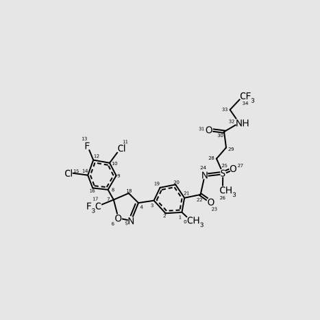 Cc1cc(C2=NOC(c3cc(Cl)c(F)c(Cl)c3)(C(F)(F)F)C2)ccc1C(=O)N=S(C)(=O)CCC(=O)NCC(F)(F)F